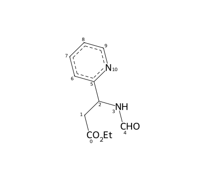 CCOC(=O)CC(NC=O)c1ccccn1